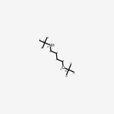 CC(C)(C)NCCCCOC(C)(C)C